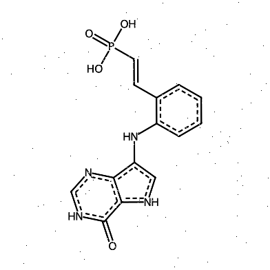 O=c1[nH]cnc2c(Nc3ccccc3C=CP(=O)(O)O)c[nH]c12